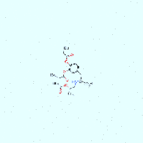 CCC(C)CC(=O)Oc1ccc(C[C@H](NCC(C)OC(=O)C(C)(C)C)C(=O)O)cc1OC(=O)CC(C)CC